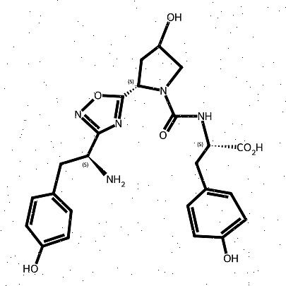 N[C@@H](Cc1ccc(O)cc1)c1noc([C@@H]2CC(O)CN2C(=O)N[C@@H](Cc2ccc(O)cc2)C(=O)O)n1